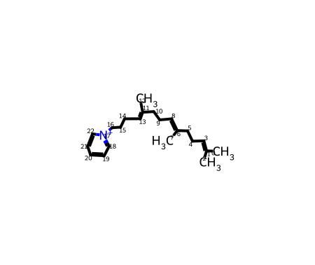 CC(C)=CCC/C(C)=C/CC/C(C)=C/CCC[n+]1ccccc1